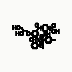 COc1cccc(Oc2c(NS(=O)(=O)c3ccc(C)cc3S)cc(C(=O)N3CCN(C(=O)O)CC3)cc2OCC(O)CO)c1